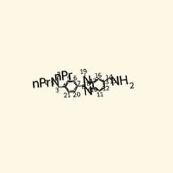 CCCN(CCC)Cc1ccc(-c2nc3ccc(CN)cc3n2C)cc1